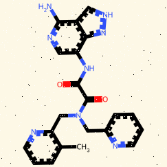 Cc1cccnc1CN(Cc1ccccn1)C(=O)C(=O)Nc1cnc(N)c2c[nH]nc12